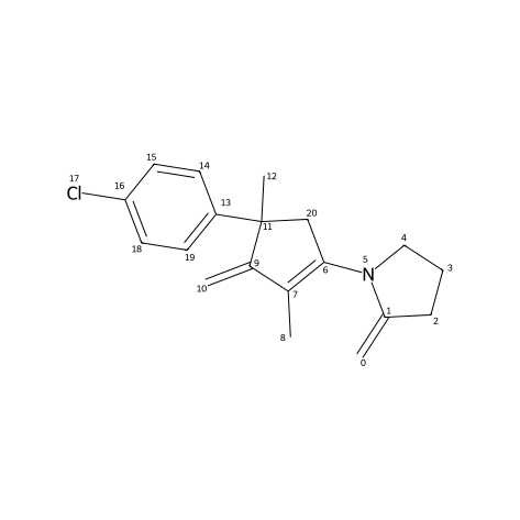 C=C1CCCN1C1=C(C)C(=C)C(C)(c2ccc(Cl)cc2)C1